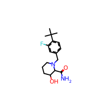 CC(C)(C)c1ccc(CN2CCCC(O)C2C(N)=O)cc1F